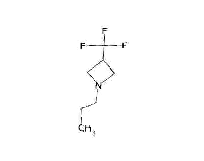 CCCN1CC(C(F)(F)F)C1